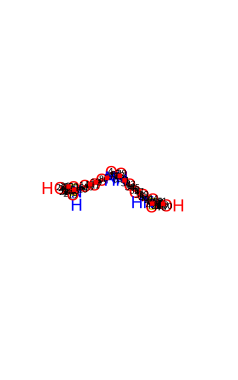 CC(C)(C(=O)NCCOCCOCCOCCNS(=O)(=O)c1ccc(O)cc1)C(=O)NCCOCCOCCOCCNS(=O)(=O)c1ccc(O)cc1